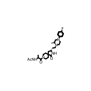 CC(=O)NC(C)C(=O)N1CCC2(CC1)C[C@H](CCN1CCN(c3ccc(F)cc3)C[C@@H]1C)NC2=O